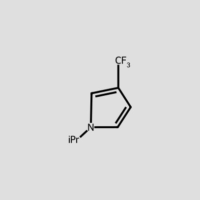 CC(C)n1ccc(C(F)(F)F)c1